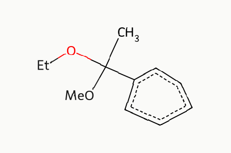 CCOC(C)(OC)c1ccccc1